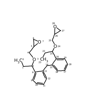 CCC(OCC1CO1)c1ccccc1Cc1ccccc1C(CC)OCC1CO1